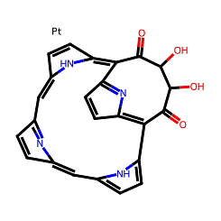 O=C1c2c3nc(c(c4ccc(cc5nc(cc6ccc2[nH]6)C=C5)[nH]4)C(=O)C(O)C1O)C=C3.[Pt]